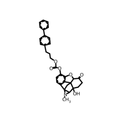 CN1C2C13CC14c5c3ccc(OC(=O)OCCCc3ccc(-c6ccccc6)cc3)c5OC1C(=O)CCC24O